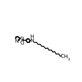 CCCCCCCCCCCCCCCCNc1ccc(C(=O)Oc2cccnc2)cc1